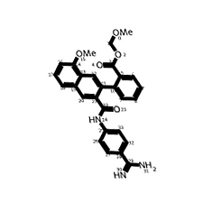 COCOC(=O)c1ccccc1-c1cc2c(OC)cccc2cc1C(=O)Nc1ccc(C(=N)N)cc1